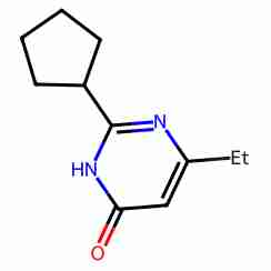 CCc1cc(=O)[nH]c(C2CCCC2)n1